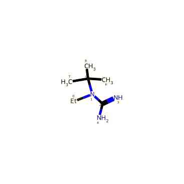 CCN(C(=N)N)C(C)(C)C